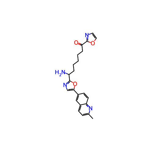 Cc1ccc2cc(-c3cnc(C(N)CCCCCC(=O)c4ncco4)o3)ccc2n1